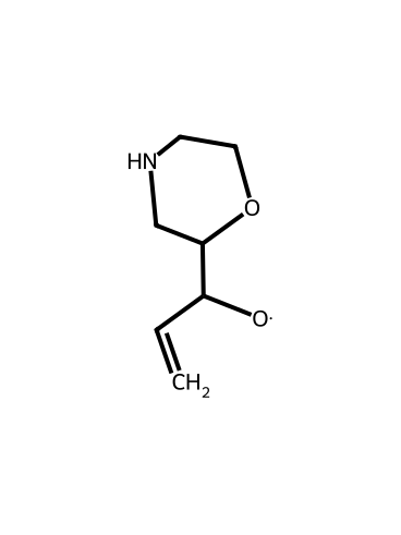 C=CC([O])C1CNCCO1